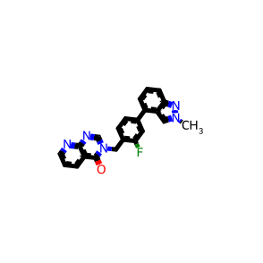 Cn1cc2c(-c3ccc(Cn4cnc5ncccc5c4=O)c(F)c3)cccc2n1